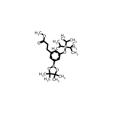 COC(=O)CCc1cc(O[Si](C(C)C)(C(C)C)C(C)C)cc(B2OC(C)(C)C(C)(C)O2)c1